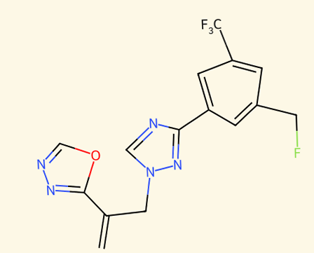 C=C(Cn1cnc(-c2cc(CF)cc(C(F)(F)F)c2)n1)c1nnco1